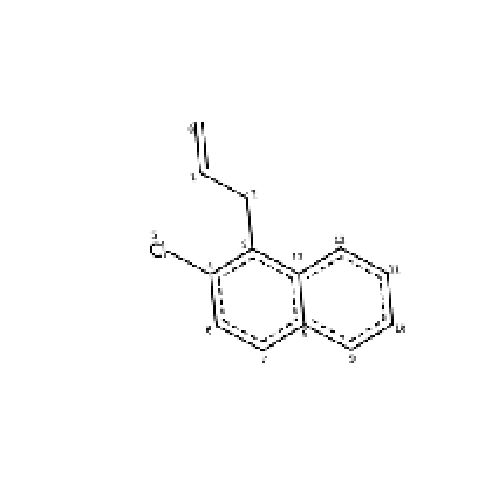 C=C[CH]c1c(Cl)ccc2ccccc12